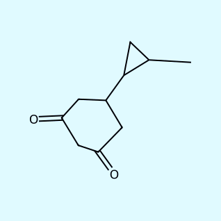 CC1CC1C1CC(=O)CC(=O)C1